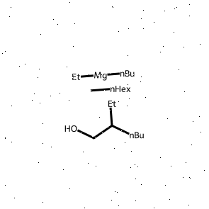 CCCCC(CC)CO.CCCCCCC.CCC[CH2][Mg][CH2]C